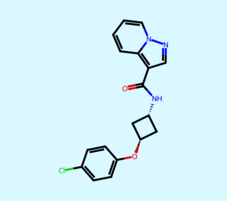 O=C(N[C@H]1C[C@H](Oc2ccc(Cl)cc2)C1)c1cnn2ccccc12